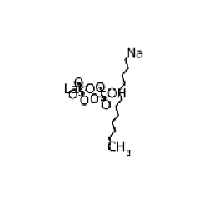 CCCCCCCCCCC[CH2][Na].O=S(=O)([O-])O.O=S(=O)([O-])[O-].[La+3]